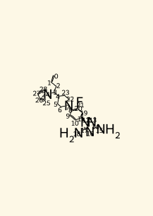 C=CCC(C1CCN(c2ccc(-n3nc(N)nc3N)cc2F)CC1)n1cccc1